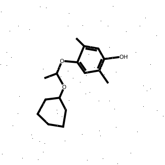 Cc1cc(OC(C)OC2CCCCC2)c(C)cc1O